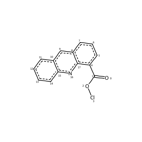 O=C(OCl)c1cccc2cc3ccccc3nc12